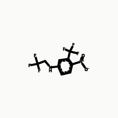 O=[N+]([O-])c1ccc(NCC(F)(F)F)cc1C(F)(F)F